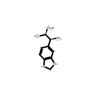 C[C@@H](C(=O)O)[C@@H](C)c1ccc2c(c1)OCO2